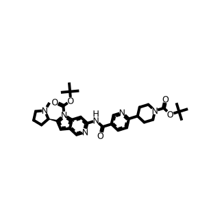 CN1CCC[C@@H]1c1cc2cnc(NC(=O)c3ccc(C4CCN(C(=O)OC(C)(C)C)CC4)nc3)cc2n1C(=O)OC(C)(C)C